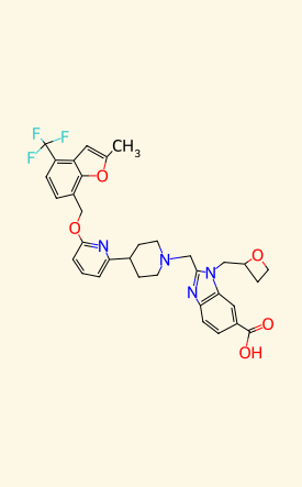 Cc1cc2c(C(F)(F)F)ccc(COc3cccc(C4CCN(Cc5nc6ccc(C(=O)O)cc6n5CC5CCO5)CC4)n3)c2o1